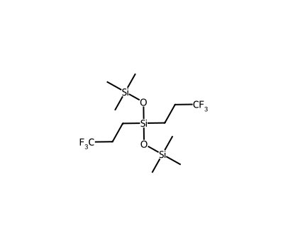 C[Si](C)(C)O[Si](CCC(F)(F)F)(CCC(F)(F)F)O[Si](C)(C)C